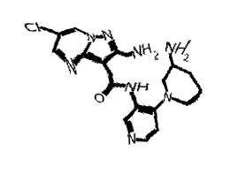 Nc1nn2cc(Cl)cnc2c1C(=O)Nc1cnccc1N1CCCC(N)C1